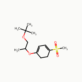 CC(COC(C)(C)C)OC1=CC=C(S(C)(=O)=O)C[CH]1